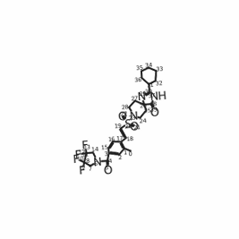 Cc1cc(C(=O)N2CC(F)(F)C(F)(F)C2)ccc1C=CS(=O)(=O)N1CCC2(CC1)N=C(C1CCCCC1)NC2=O